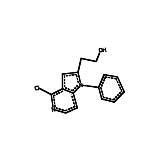 OCCc1cc2c(Cl)nccc2n1-c1ccccc1